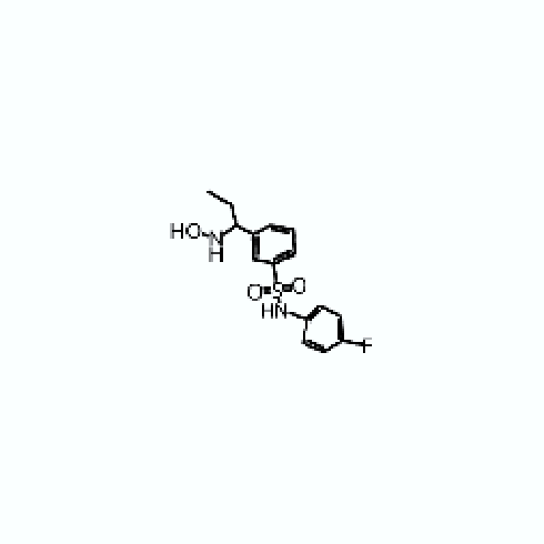 CCC(NO)c1cccc(S(=O)(=O)Nc2ccc(F)cc2)c1